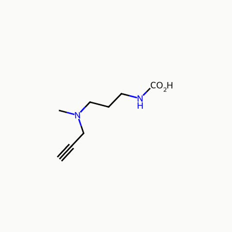 C#CCN(C)CCCNC(=O)O